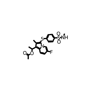 CNS(=O)(=O)c1ccc(Sc2c(C)c(C(C)OC(C)=O)c3ccc(F)cn23)cc1